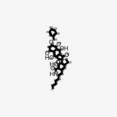 C/C=C/C=C/c1cc2cc3c(c(O)c2c(=O)[nH]1)[C@@]1(CC3)C(=O)c2c(O)c3c(c(O)c2C1=O)C(=O)C(OCc1ccccc1)=CC3=O